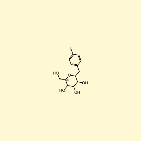 OC[C@H]1OC(Cc2ccc(I)cc2)C(O)C(O)C1O